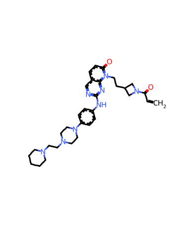 C=CC(=O)N1CC(CCn2c(=O)ccc3cnc(Nc4ccc(N5CCN(CCN6CCCCC6)CC5)cc4)nc32)C1